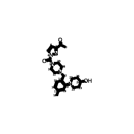 CC(=O)c1ccn(C(=O)N2CCN(Cc3ccc(C)cc3N3CCC(O)CC3)CC2)n1